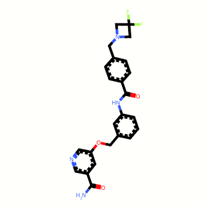 NC(=O)c1cncc(OCc2cccc(NC(=O)c3ccc(CN4CC(F)(F)C4)cc3)c2)c1